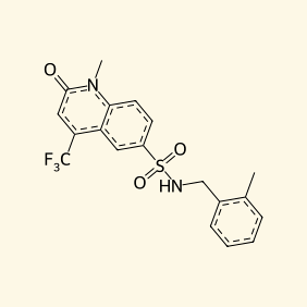 Cc1ccccc1CNS(=O)(=O)c1ccc2c(c1)c(C(F)(F)F)cc(=O)n2C